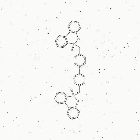 O=P1(Cc2ccc(-c3ccc(CP4(=O)Oc5ccccc5-c5ccccc54)cc3)cc2)Oc2ccccc2-c2ccccc21